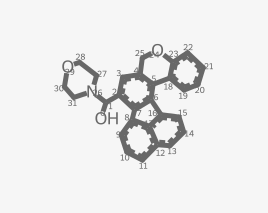 OC(c1cc2c(c3c1-c1cccc4cccc-3c14)-c1ccccc1OC2)N1CCOCC1